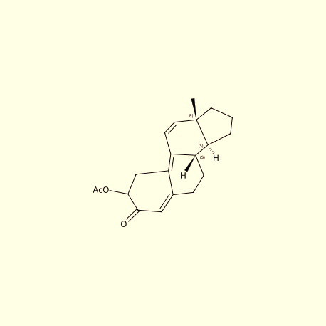 CC(=O)OC1CC2=C3C=C[C@]4(C)CCC[C@H]4[C@@H]3CCC2=CC1=O